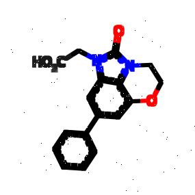 O=C(O)Cn1c(=O)n2c3c(cc(-c4ccccc4)cc31)OCC2